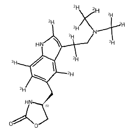 [2H]c1[nH]c2c([2H])c([2H])c(C[C@H]3COC(=O)N3)c([2H])c2c1C([2H])([2H])CN(C([2H])([2H])[2H])C([2H])([2H])[2H]